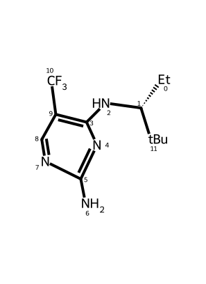 CC[C@@H](Nc1nc(N)ncc1C(F)(F)F)C(C)(C)C